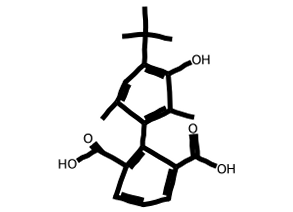 Cc1cc(C(C)(C)C)c(O)c(C)c1-c1c(C(=O)O)cccc1C(=O)O